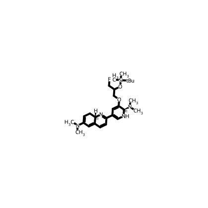 CN(C)C1=CC[C@@H]2N=C(C3=CN[C@H](N(C)C)C(OCC(CF)O[Si](C)(C)C(C)(C)C)=C3)C=CC2=C1